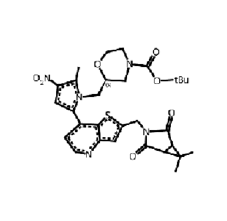 Cc1c([N+](=O)[O-])cc(-c2ccnc3cc(CN4C(=O)C5C(C4=O)C5(C)C)sc23)n1C[C@@H]1CN(C(=O)OC(C)(C)C)CCO1